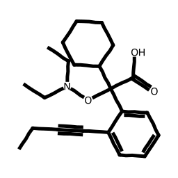 CCC#Cc1ccccc1C(ON(CC)CC)(C(=O)O)C1CCCCC1